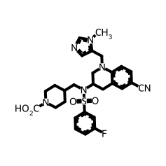 Cn1cncc1CN1CC(N(CC2CCN(C(=O)O)CC2)S(=O)(=O)c2cccc(F)c2)Cc2cc(C#N)ccc21